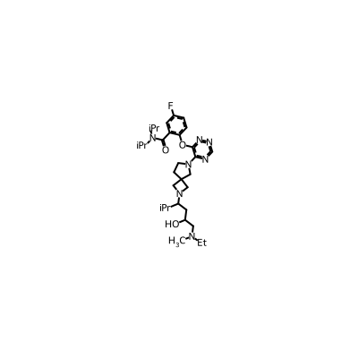 CCN(C)CC(O)CC(C(C)C)N1CC2(CCN(c3ncnnc3Oc3ccc(F)cc3C(=O)N(C(C)C)C(C)C)C2)C1